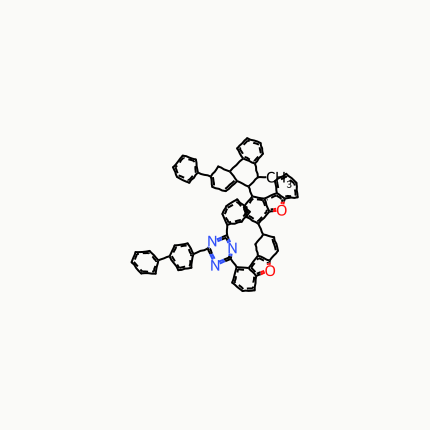 CC1c2ccccc2C2CC(c3ccccc3)=CC=C2C1c1ccc(C2C=Cc3oc4cccc(-c5nc(-c6ccccc6)nc(-c6ccc(-c7ccccc7)cc6)n5)c4c3C2)c2oc3ccccc3c12